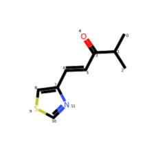 CC(C)C(=O)C=Cc1cscn1